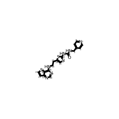 O=C(NCc1ccncc1)Nc1ncc(CCNc2ncnc3ccsc23)s1